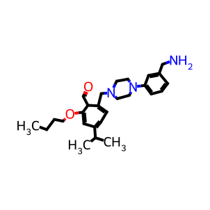 CCCCOC1=CC(C(C)C)=CC=C(CN2CCN(c3cccc(CN)c3)CC2)C1C=O